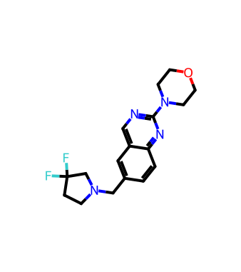 FC1(F)CCN(Cc2ccc3nc(N4CCOCC4)ncc3c2)C1